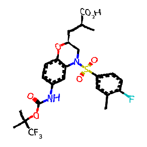 Cc1cc(S(=O)(=O)N2C[C@H](C[C@H](C)C(=O)O)Oc3ccc(NC(=O)OC(C)(C)C(F)(F)F)cc32)ccc1F